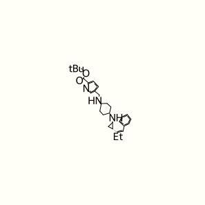 CCC(=Cc1ccccc1)[C@@H]1C[C@H]1NC1CCC(NCc2ccc(C(=O)OC(C)(C)C)nc2)CC1